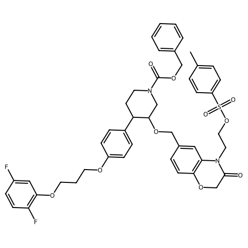 Cc1ccc(S(=O)(=O)OCCN2C(=O)COc3ccc(COC4CN(C(=O)OCc5ccccc5)CCC4c4ccc(OCCCOc5cc(F)ccc5F)cc4)cc32)cc1